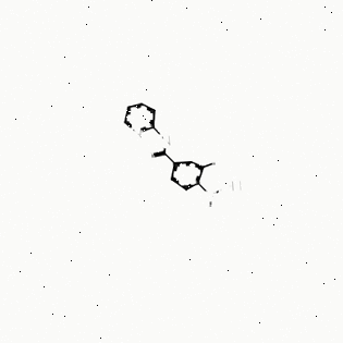 O=C(Nc1ccccn1)c1ccc(B(O)O)c(F)c1